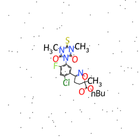 CCCCOC(=O)C1(C)CCC(c2cc(-n3c(=O)n(C)c(=S)n(C)c3=O)c(F)cc2Cl)=NO1